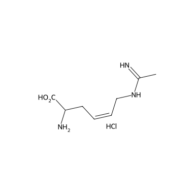 CC(=N)NC/C=C\CC(N)C(=O)O.Cl